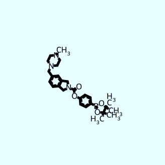 CN1CCN(Cc2ccc3c(c2)CN(C(=O)Oc2ccc(B4OC(C)(C)C(C)(C)O4)cc2)C3)CC1